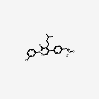 CC(C)CCc1c(-c2ccc(C[SH](=O)=O)cc2)cnn(-c2cccc(Cl)c2)c1=O